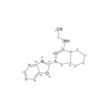 N#CCNC(=O)C1CCCCC1CSc1nc2ccccc2o1